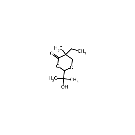 CCC1(C)COC(C(C)(C)O)OC1=O